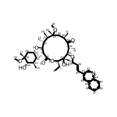 CC[C@H]1OC(=O)[C@H](C)[C@@H](O[C@@H]2C[C@@H](C)[C@H](O)[C@](C)(OC)C2)[C@H](C)[C@@H](C)[C@](C)(OC)C[C@@H](C)C(=O)[C@H](C)[C@@H](OC/C=C/c2cnc3ccccc3c2)[C@]1(C)O